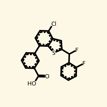 O=C(O)c1cccc(-c2ccc(Cl)c3cc(C(F)c4ccccc4F)sc23)c1